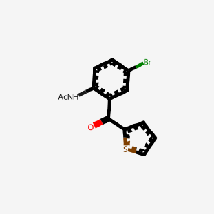 CC(=O)Nc1ccc(Br)cc1C(=O)c1cccs1